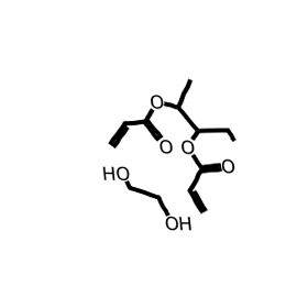 C=CC(=O)OC(C)C(CC)OC(=O)C=C.OCCO